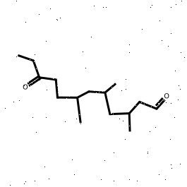 CCC(=O)CCC(C)CC(C)CC(C)CC=O